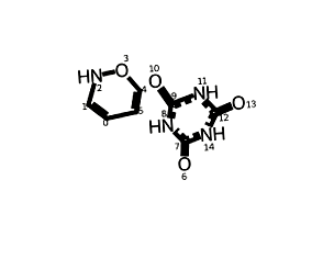 C1=CNOC=C1.O=c1[nH]c(=O)[nH]c(=O)[nH]1